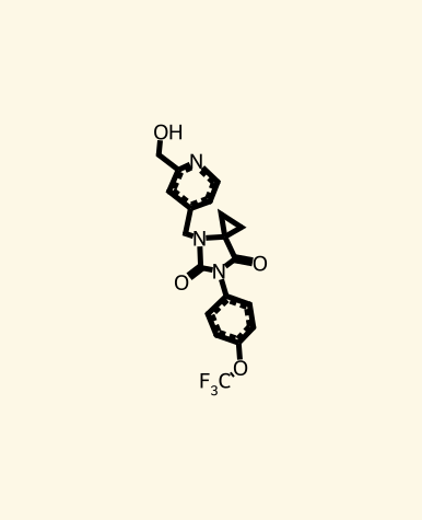 O=C1N(c2ccc(OC(F)(F)F)cc2)C(=O)C2(CC2)N1Cc1ccnc(CO)c1